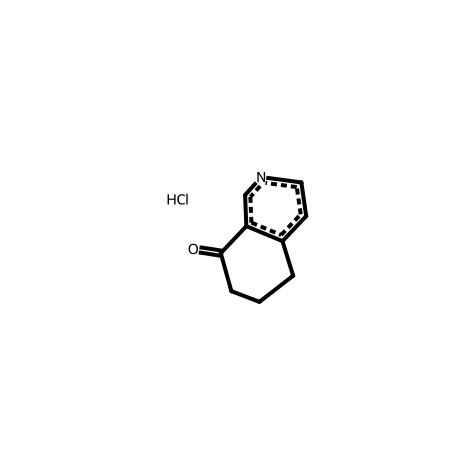 Cl.O=C1CCCc2ccncc21